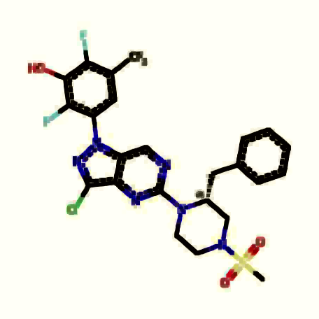 CS(=O)(=O)N1CCN(c2ncc3c(n2)c(Cl)nn3-c2cc(C(F)(F)F)c(F)c(O)c2F)[C@H](Cc2ccccc2)C1